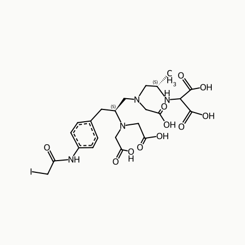 C[C@@H](CN(CC(=O)O)C[C@H](Cc1ccc(NC(=O)CI)cc1)N(CC(=O)O)CC(=O)O)NC(C(=O)O)C(=O)O